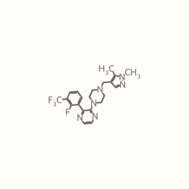 Cc1c(CN2CCN(c3nccnc3-c3cccc(C(F)(F)F)c3F)CC2)cnn1C